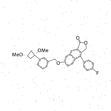 CO[C@H]1C[C@](OC)(c2cccc(COc3ccc4c(-c5ccc(F)cc5)c5c(cc4c3)C(=O)OC5)c2)C1